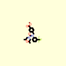 COC(=O)c1ccc(CN(C(=O)N2CC(C)OC(C)C2)c2cccc(C(F)(F)F)c2)cc1